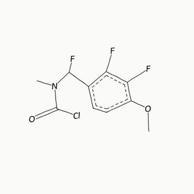 COc1ccc(C(F)N(C)C(=O)Cl)c(F)c1F